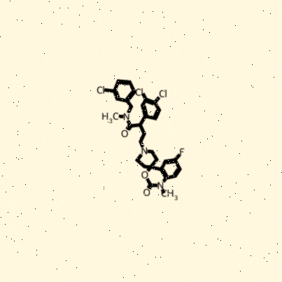 CN(Cc1cccc(Cl)c1)C(=O)C(CCN1CCC2(CC1)OC(=O)N(C)c1ccc(F)cc12)c1ccc(Cl)c(Cl)c1